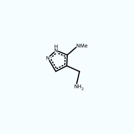 CNc1[nH]ncc1CN